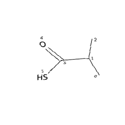 CC(C)C(=O)S